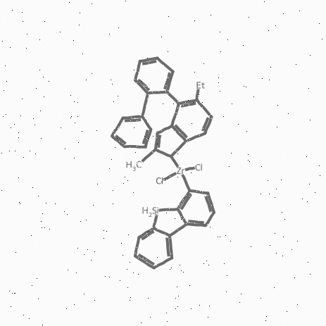 CCc1ccc2c(c1-c1ccccc1-c1ccccc1)C=C(C)[CH]2[Zr]([Cl])([Cl])[c]1cccc2c1[SiH2]c1ccccc1-2